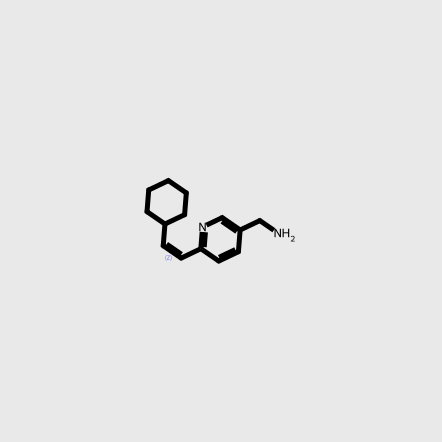 NCc1ccc(/C=C\C2CCCCC2)nc1